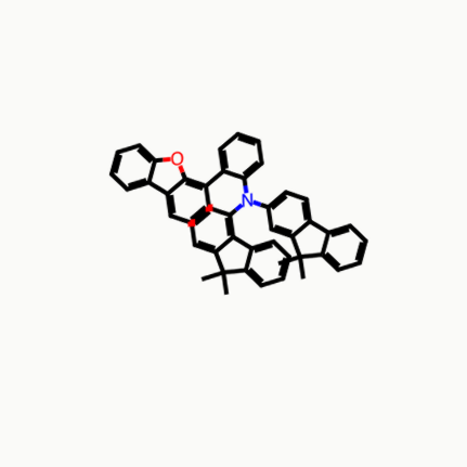 CC1(C)c2ccccc2-c2ccc(N(c3ccccc3-c3cccc4c3oc3ccccc34)c3cccc4c3-c3ccccc3C4(C)C)cc21